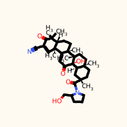 CC1(C)C(=O)C(C#N)=C[C@]2(C)C3=CC(=O)[C@]4(O)[C@@H]5C[C@@](C)(C(=O)N6CCCC6CO)CC[C@]5(C)CC[C@@]4(C)[C@]3(C)CC[C@@H]12